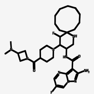 CN(C)C1CN(C(=O)C2CCN(C3C(NC(=O)c4c(N)nn5cc(F)cnc45)CNC4(CCCCCCCCC4)C3F)CC2)C1